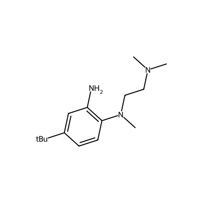 CN(C)CCN(C)c1ccc(C(C)(C)C)cc1N